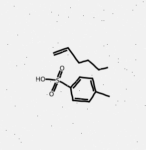 C=CCCCC.Cc1ccc(S(=O)(=O)O)cc1